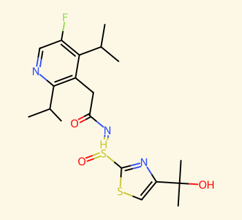 CC(C)c1ncc(F)c(C(C)C)c1CC(=O)/N=[SH](=O)/c1nc(C(C)(C)O)cs1